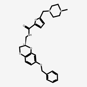 CN1CCN(Cc2ccc(C(=O)NC[C@@H]3COc4ccc(OCc5ccccc5)cc4O3)o2)CC1